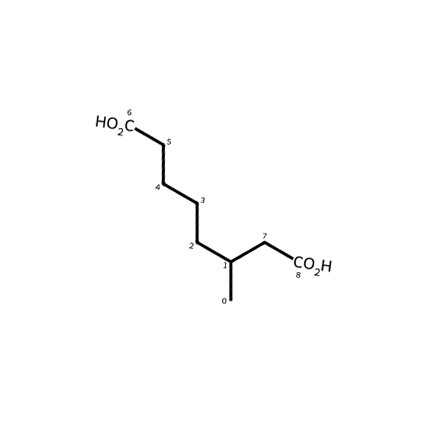 CC(CCCCC(=O)O)CC(=O)O